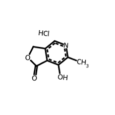 Cc1ncc2c(c1O)C(=O)OC2.Cl